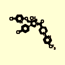 C[C@]1(COc2ccc(Cl)cn2)CN(C(=O)C2CCN(c3ccc(C(F)(F)F)cn3)CC2)C[C@@H]1c1ccc(Cl)cc1